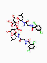 CC(C)C[C@H](NC(=O)CNC(=O)c1cc(Cl)ccc1Cl)B1OC(=O)C[C@@](CC[C@@]2(C(=O)O)CC(=O)OB([C@H](CC(C)C)NC(=O)CNC(=O)c3cc(Cl)ccc3Cl)O2)(C(=O)O)O1